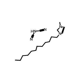 CCCCCCCCCCCCN1C=CN(C)C1.N#CNC#N